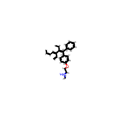 C=CC(=C\C=C/C)/C(CC)=C(/c1ccccc1)c1ccc(OCCNC)cc1